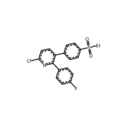 CCS(=O)(=O)c1ccc(-c2ccc(Cl)nc2-c2ccc(F)cc2)cc1